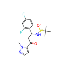 Cn1nccc1C(=O)CC(N[S+]([O-])C(C)(C)C)c1ccc(F)cc1F